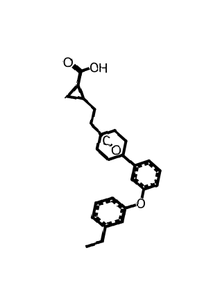 CCc1cccc(Oc2cccc(C34CCC(CCC5CC5C(=O)O)(CC3)CO4)c2)c1